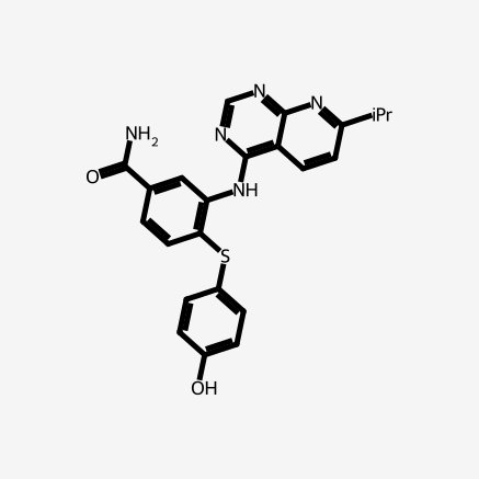 CC(C)c1ccc2c(Nc3cc(C(N)=O)ccc3Sc3ccc(O)cc3)ncnc2n1